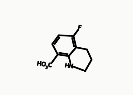 O=C(O)c1ccc(F)c2c1NCCC2